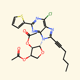 CCCCC#Cc1nc2c(Cl)nc(-c3cccs3)nc2n1[C@@H]1OC[C@@H](OC(C)=O)[C@H]1OC(C)=O